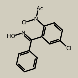 CC(=O)N(Cl)c1ccc(Cl)cc1C(=NO)c1ccccc1